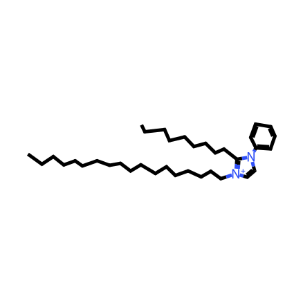 CCCCCCCCCCCCCCCCCC[n+]1ccn(-c2ccccc2)c1CCCCCCCCC